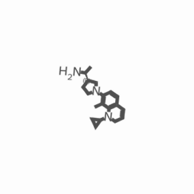 Cc1c(N2CC[C@@H](C(C)N)C2)ccc2c1N(C1CC1)CC=C2